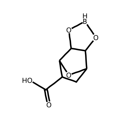 O=C(O)C1CC2OC1C1OBOC21